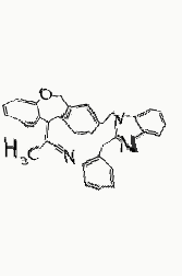 CC(C#N)=C1c2ccc(Cn3c(Cc4ccccc4)nc4ccccc43)cc2COc2ccccc21